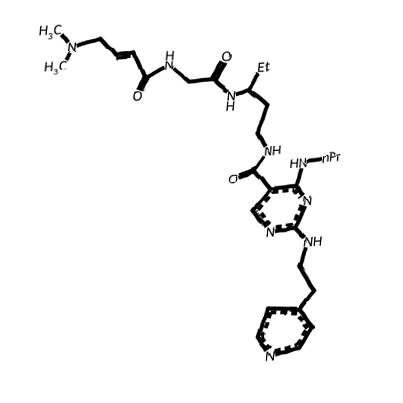 CCCNc1nc(NCCc2ccncc2)ncc1C(=O)NCCC(CC)NC(=O)CNC(=O)/C=C/CN(C)C